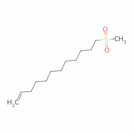 C=CCCCCCCCCCCS(C)(=O)=O